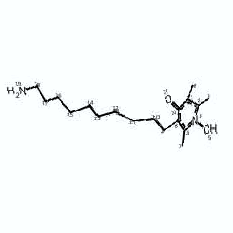 Cc1c(C)n(O)c(C)c(CCCCCCCCCCN)c1=O